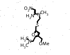 COCc1cc(CSCCN(C)C(N)=C[N+](=O)[O-])oc1CN(C)C